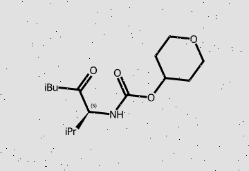 CCC(C)C(=O)[C@@H](NC(=O)OC1CCOCC1)C(C)C